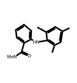 CNC(=O)c1ccccc1Nc1c(C)cc(C)cc1C